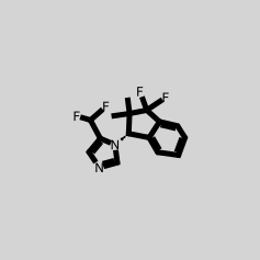 CC1(C)[C@@H](n2cncc2C(F)F)c2ccccc2C1(F)F